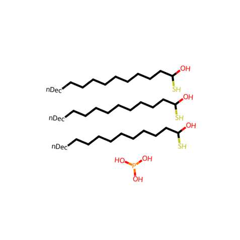 CCCCCCCCCCCCCCCCCCCC(O)S.CCCCCCCCCCCCCCCCCCCC(O)S.CCCCCCCCCCCCCCCCCCCC(O)S.OP(O)O